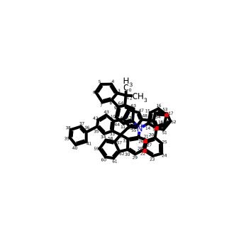 CC1(C)c2ccccc2-c2ccc(N(c3ccccc3-c3ccccc3)c3cccc4c3C3(c5cc(-c6ccccc6)ccc5-c5ccc(-c6ccccc6)cc53)c3ccccc3-4)cc21